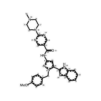 COc1ccc(Cn2nc(NC(=O)c3cnc(N4CCN(C)CC4)nc3)cc2-c2nc3ccccc3[nH]2)cc1